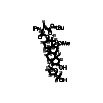 CO[C@H]1CC2C3(CC[C@]4(C)[C@@H]([C@@]5(C)CC[C@@H](C(C)(C)O)O5)[C@@H](O)C[C@@]24C)C[C@@]32CC[C@H](OC(=O)[C@H](C(C)C)N(C)C(=O)OC(C)(C)C)C(C)(C)[C@H]12